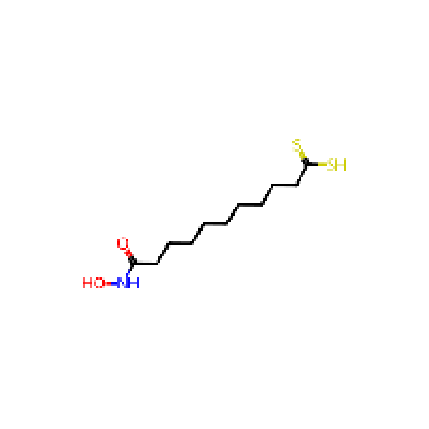 O=C(CCCCCCCCCC(=S)S)NO